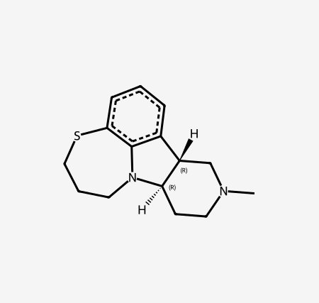 CN1CC[C@@H]2[C@@H](C1)c1cccc3c1N2CCCS3